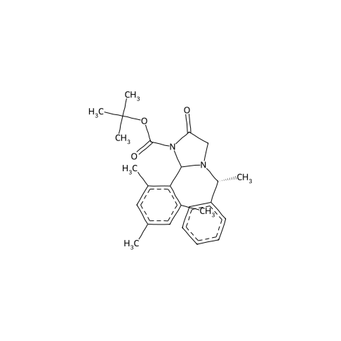 Cc1cc(C)c(C2N(C(=O)OC(C)(C)C)C(=O)CN2[C@H](C)c2ccccc2)c(C)c1